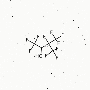 OC(C(F)(F)F)C(F)(C(F)(F)F)C(F)(F)F